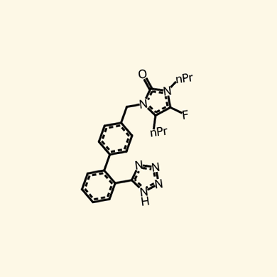 CCCc1c(F)n(CCC)c(=O)n1Cc1ccc(-c2ccccc2-c2nnn[nH]2)cc1